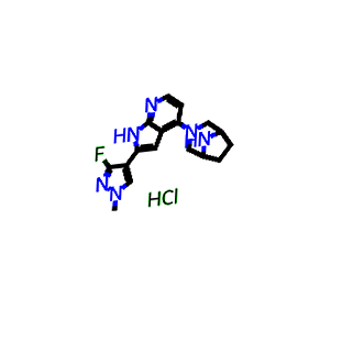 Cl.Cn1cc(-c2cc3c(N4CC5CCC(C4)N5)ccnc3[nH]2)c(F)n1